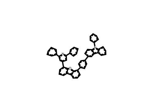 c1ccc(-c2cc(-c3cccc4c3oc3c(-c5ccc(-c6ccc7c(c6)c6ccccc6n7-c6ccccc6)cc5)cccc34)cc(-c3ccccc3)n2)cc1